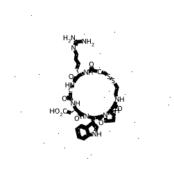 NC(N)=NCCCC[C@@H]1NC(=O)CCSSCCNC(=O)[C@@H]2CCCN2C(=O)C(c2c[nH]c3ccccc23)NC(=O)[C@H](CC(=O)O)NC(=O)CNC1=O